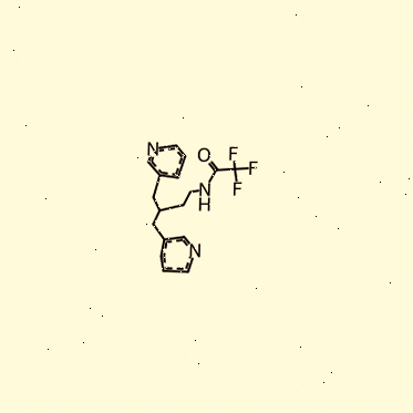 O=C(NCCC(Cc1cccnc1)Cc1cccnc1)C(F)(F)F